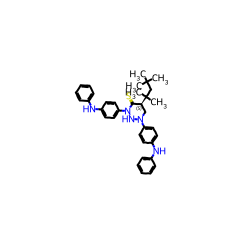 CC(C)(C)CC(C)(C)[C@H]1CN(c2ccc(Nc3ccccc3)cc2)NN(c2ccc(Nc3ccccc3)cc2)C1=S